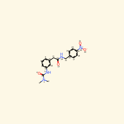 CN(C)C(=O)Nc1cccc(CC(=O)NCc2ccc([N+](=O)[O-])cc2)c1